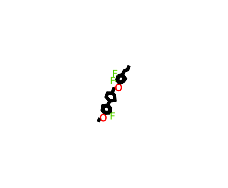 CCCc1ccc(OCC2CCC(c3ccc(OCC)c(F)c3)CC2)c(F)c1F